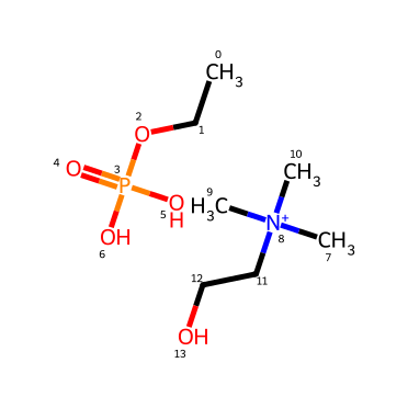 CCOP(=O)(O)O.C[N+](C)(C)CCO